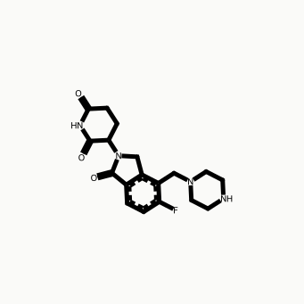 O=C1CCC(N2Cc3c(ccc(F)c3CN3CCNCC3)C2=O)C(=O)N1